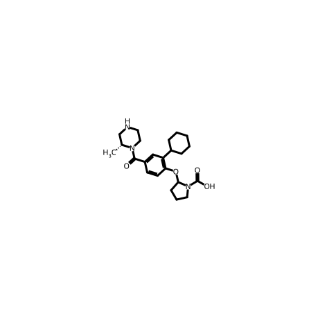 C[C@@H]1CNCCN1C(=O)c1ccc(OC2CCCN2C(=O)O)c(C2CCCCC2)c1